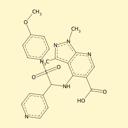 COc1ccc(S(=O)(=O)C(Nc2c(C(=O)O)cnc3c2c(C)nn3C)c2ccncc2)cc1